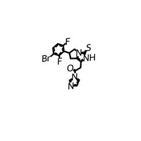 O=C(Cc1[nH]c(=S)n2c1CC(c1c(F)ccc(Br)c1F)C2)n1ccnc1